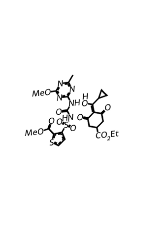 CCOC(=O)C1CC(=O)C(=C(O)C2CC2)C(=O)C1.COC(=O)c1sccc1S(=O)(=O)NC(=O)Nc1nc(C)nc(OC)n1